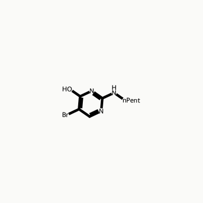 CCCCCNc1ncc(Br)c(O)n1